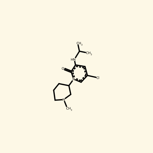 CC(C)Nc1cc(Cl)cn(C2CCCN(C)C2)c1=O